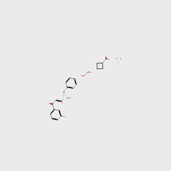 COC(=O)C1CC(OCCOc2ccc(CN(C)c3cc(=O)c4cccc(Cl)c4o3)cc2)C1